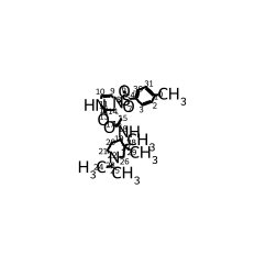 Cc1ccc(S(=O)(=O)N2C=CNC(=O)[C@H]2CC(=O)N[C@@H]2CCN(C(C)C)CC2(C)C)cc1